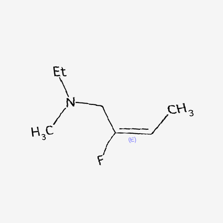 C/C=C(/F)CN(C)CC